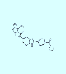 Cc1n[nH]c(C(=O)Nc2cnc3[nH]c(-c4ccc(C(=O)N5CCCC5)cc4)cc3c2)c1C